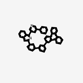 c1ccc(-c2cncc(-c3nc(-c4cccc(-c5cccc(-c6ccc7c8ccccc8c8ccccc8c7c6)c5)c4)cc4ccccc34)c2)cc1